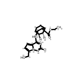 CCOC(=O)[C@@H]1C2CCC(CC2)[C@H]1Nc1nc(Cl)nn2c(CO)ccc12